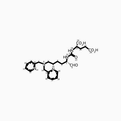 O=C[C@H](CCCCN(Cc1ccccn1)Cc1ccccn1)NC(=O)N[C@@H](CCC(=O)O)C(=O)O